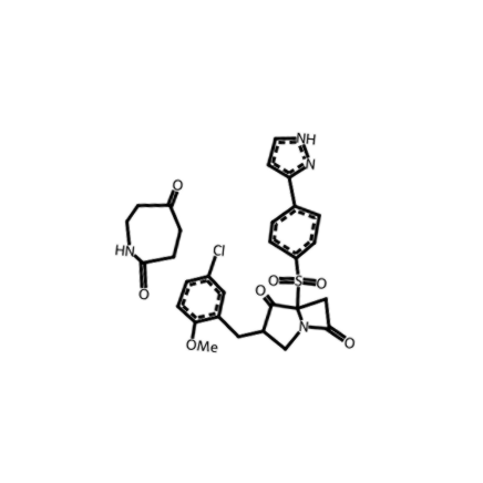 COc1ccc(Cl)cc1CC1CN2C(=O)CC2(S(=O)(=O)c2ccc(-c3cc[nH]n3)cc2)C1=O.O=C1CCNC(=O)CC1